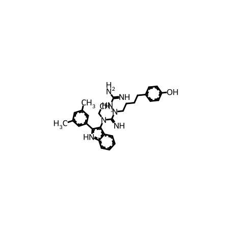 CCN(C(=N)N(CCCCc1ccc(O)cc1)NC(=N)N)c1c(-c2cc(C)cc(C)c2)[nH]c2ccccc12